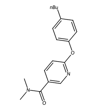 CCCCc1ccc(Oc2ccc(C(=O)N(C)C)cn2)cc1